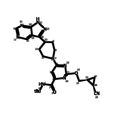 CC(C)(C)NC(=O)c1cc(N2CCC(c3n[nH]c4ncncc34)CC2)nc(OC[C@H]2C[C@H]2C#N)n1